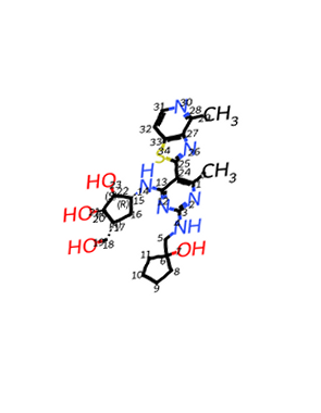 Cc1nc(NCC2(O)CCCC2)nc(N[C@@H]2C[C@H](CO)[C@@H](O)[C@H]2O)c1-c1nc2c(C)nccc2s1